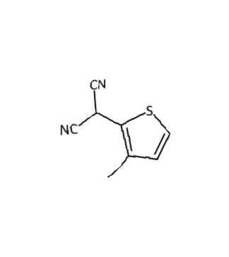 Cc1ccsc1C(C#N)C#N